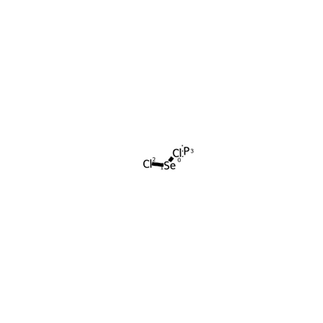 Cl[Se]Cl.[P]